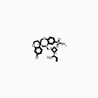 C=CC(O)[C@@H]1CC[C@H]1CN1C[C@@]2(CCOc3cc(Cl)ccc32)COc2ccc(S(N)(=O)=O)cc21